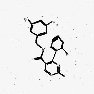 Cc1ncc(C(=O)NCc2cc(C(F)(F)F)cc(C(F)(F)F)c2)c(-c2ccccc2Br)n1